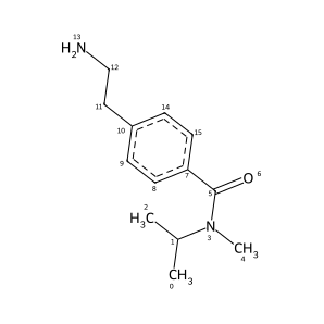 CC(C)N(C)C(=O)c1ccc(CCN)cc1